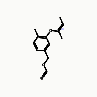 C/C=C(/C)Oc1cc(COC=O)ccc1C